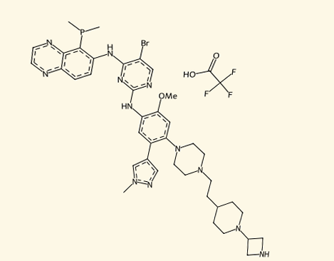 COc1cc(N2CCN(CCC3CCN(C4CNC4)CC3)CC2)c(-c2cnn(C)c2)cc1Nc1ncc(Br)c(Nc2ccc3nccnc3c2P(C)C)n1.O=C(O)C(F)(F)F